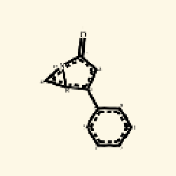 O=c1cc(-c2ccccc2)c2cn1-2